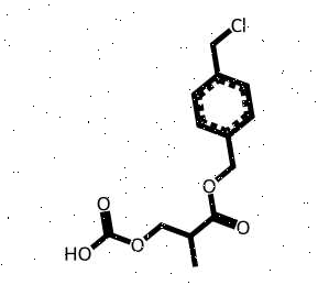 CC(COC(=O)O)C(=O)OCc1ccc(CCl)cc1